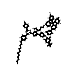 CCCCCCCCCCCCc1ccc(-c2nc(-c3ccc(C)cc3)nc(-c3ccc(-c4ccc5c(c4)Oc4cc(-c6ccc7c(c6)C(c6ccc(C)cc6)(c6ccc(OCCCCCC)cc6)c6cc(C)ccc6-7)ccc4N5c4c(C)cc(C(C)(C)C)cc4C)cc3)n2)cc1